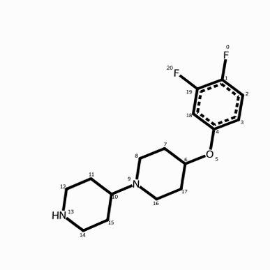 Fc1ccc(OC2CCN(C3CCNCC3)CC2)cc1F